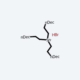 Br.CCCCCCCCCCC[CH2][Sn]([CH2]CCCCCCCCCCC)[CH2]CCCCCCCCCCC